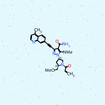 C=CC(=O)N1C[C@@H](n2nc(C#Cc3ccc4c(C)ccnc4c3)c(C(N)=O)c2NC)C[C@@H]1COC